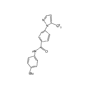 CC(C)(C)c1ccc(NC(=O)c2ccc(-n3nccc3C(F)(F)F)cc2)cc1